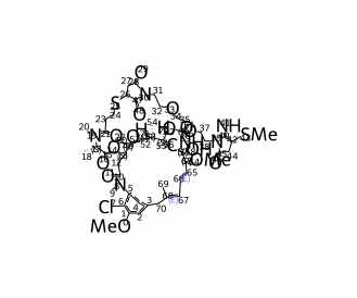 COc1cc2cc(c1Cl)N(C)C(=O)C[C@H](OC(=O)[C@H](C)N(C)C(=O)CCSC1CC(=O)N(CCOCCOCCN3C(=N)C(SC)CC3=O)C1=O)[C@]1(C)O[C@H]1[C@H](C)[C@@H]1C[C@@](O)(NC(=O)O1)[C@H](OC)/C=C/C=C(\C)C2